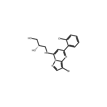 OC[C@@H](O)CNc1cc(-c2ccccc2Cl)nc2c(Br)cnn12